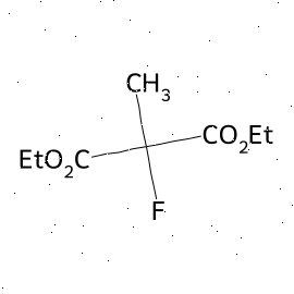 CCOC(=O)C(C)(F)C(=O)OCC